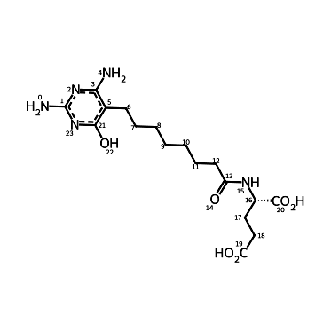 Nc1nc(N)c(CCCCCCCC(=O)N[C@@H](CCC(=O)O)C(=O)O)c(O)n1